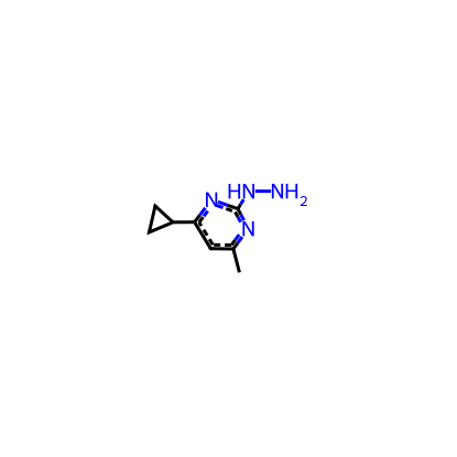 Cc1cc(C2CC2)nc(NN)n1